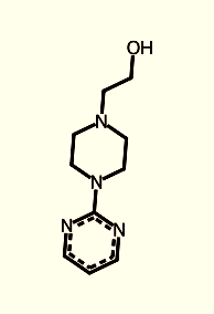 OCCN1CCN(c2ncccn2)CC1